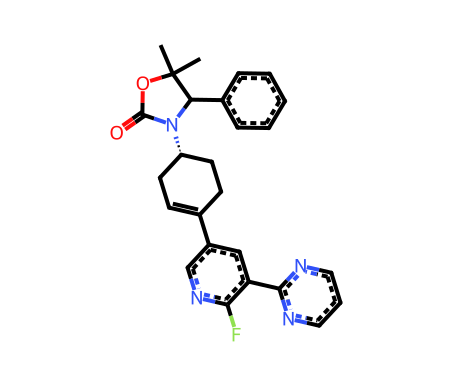 CC1(C)OC(=O)N([C@H]2CC=C(c3cnc(F)c(-c4ncccn4)c3)CC2)C1c1ccccc1